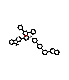 CC1(C)c2ccccc2-c2ccc(-c3ccc(N(c4ccc(-c5ccc(-c6cccc(-c7ccc8ccccc8c7)c6)cc5)cc4)c4ccccc4-c4cccc(-c5ccccc5)c4)cc3)cc21